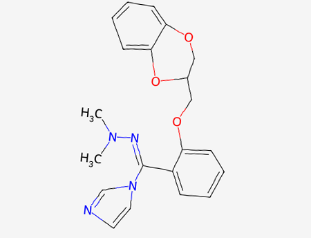 CN(C)N=C(c1ccccc1OCC1COc2ccccc2O1)n1ccnc1